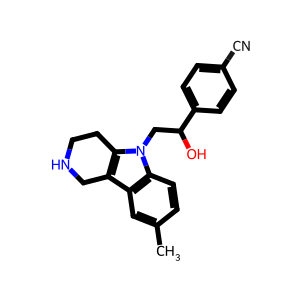 Cc1ccc2c(c1)c1c(n2CC(O)c2ccc(C#N)cc2)CCNC1